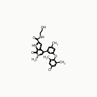 Cc1cc(Oc2c(C)cc(Cl)cc2C)cc(-c2cn(C)c(=O)c3[nH]c(C(=O)NCCO)cc23)c1